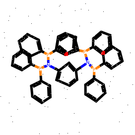 c1ccc(P(c2ccccc2)N(c2cccc(N(P(c3ccccc3)c3ccccc3)P(c3ccccc3)c3ccccc3)c2)P(c2ccccc2)c2ccccc2)cc1